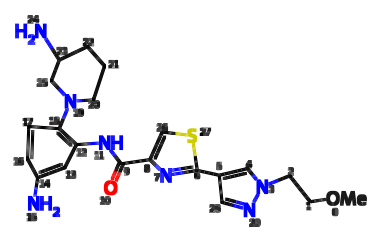 COCCn1cc(-c2nc(C(=O)Nc3cc(N)ccc3N3CCCC(N)C3)cs2)cn1